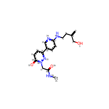 C=C(CO)CCNc1ccc(-c2ccc(=O)n(CC(=O)NCC)n2)cn1